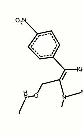 CN(N)/C(COPI)=C(\N)c1ccc([N+](=O)[O-])cc1